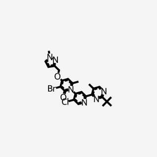 Cc1cnc(C(C)(C)C)nc1-c1cc(-n2c(C)cc(OCc3ccn(C)n3)c(Br)c2=O)c(Cl)cn1